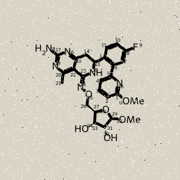 COc1cccc(-c2cc(F)ccc2C2Cc3nc(N)nc(C)c3C(=NOC[C@H]3OC(OC)[C@H](O)[C@@H]3O)N2)n1